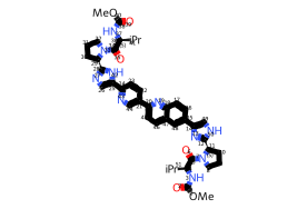 COC(=O)N[C@H](C(=O)N1CCC[C@H]1c1nc(-c2ccc3nc(-c4ccc(-c5cnc([C@@H]6CCCN6C(=O)[C@@H](NC(=O)OC)C(C)C)[nH]5)nc4)ccc3c2)c[nH]1)C(C)C